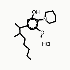 CCCCCC(C)C(C)c1cc(O)c(N2CCCCC2)c(OC)c1.Cl